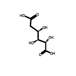 O=C(O)C[C@@H](O)[C@H](O)[C@@H](O)C(=O)O